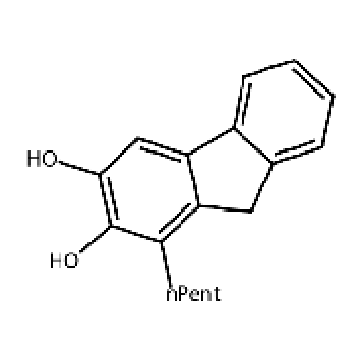 CCCCCc1c(O)c(O)cc2c1Cc1ccccc1-2